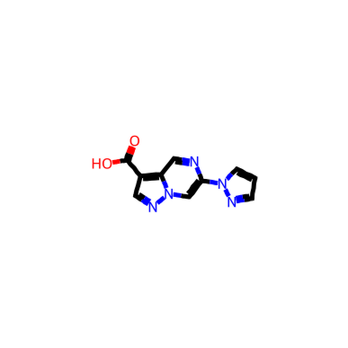 O=C(O)c1cnn2cc(-n3cccn3)ncc12